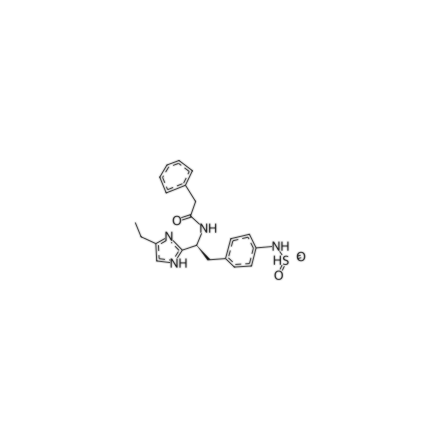 CCc1c[nH]c([C@H](Cc2ccc(N[SH](=O)=O)cc2)NC(=O)Cc2ccccc2)n1